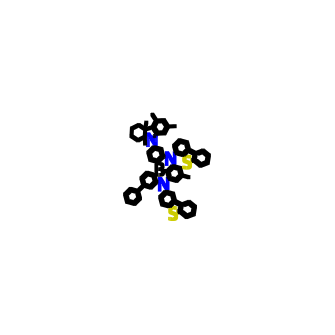 Cc1cc2c3c(c1)N(c1cccc4c1sc1ccccc14)c1cc(N4c5cc(C)cc(C)c5C5(C)CCCCC45C)ccc1B3c1ccc(-c3ccccc3)cc1N2c1ccc2sc3ccccc3c2c1